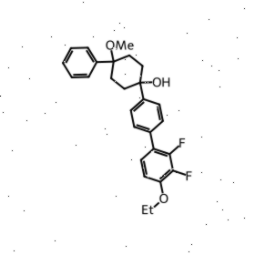 CCOc1ccc(-c2ccc(C3(O)CCC(OC)(c4ccccc4)CC3)cc2)c(F)c1F